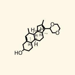 CC1=C(C2COCCO2)[C@@]2(C)CC[C@@H]3[C@@H](C(C)C=C4CC(O)CC[C@@]43C)[C@@H]2C1